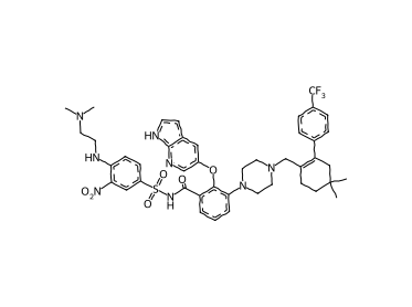 CN(C)CCNc1ccc(S(=O)(=O)NC(=O)c2cccc(N3CCN(CC4=C(c5ccc(C(F)(F)F)cc5)CC(C)(C)CC4)CC3)c2Oc2cnc3[nH]ccc3c2)cc1[N+](=O)[O-]